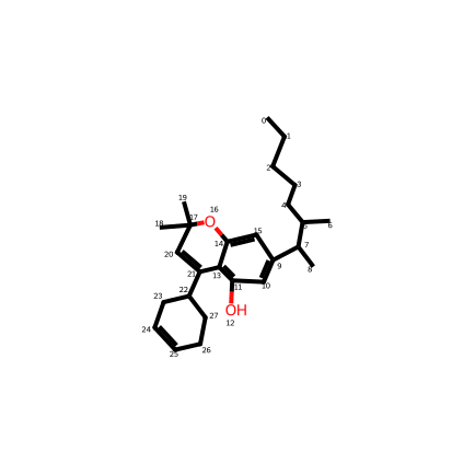 CCCCCC(C)C(C)c1cc(O)c2c(c1)OC(C)(C)C=C2C1CC=CCC1